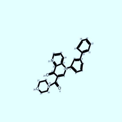 O=C(c1cn(-c2cccc(-c3cc[c]cc3)c2)c2cccnc2c1=O)N1CCOCC1